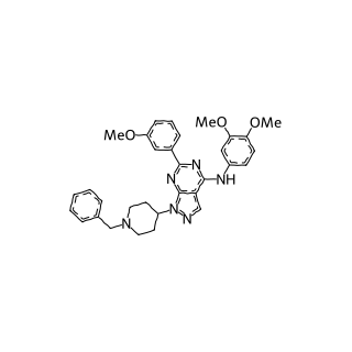 COc1cccc(-c2nc(Nc3ccc(OC)c(OC)c3)c3cnn(C4CCN(Cc5ccccc5)CC4)c3n2)c1